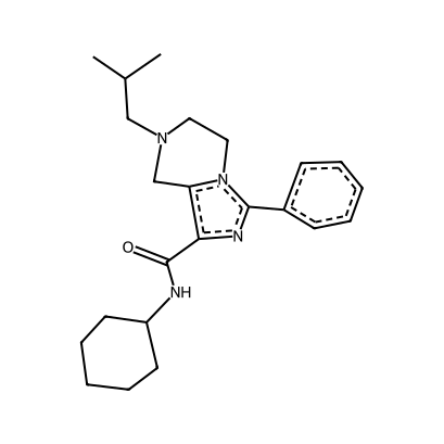 CC(C)CN1CCn2c(-c3ccccc3)nc(C(=O)NC3CCCCC3)c2C1